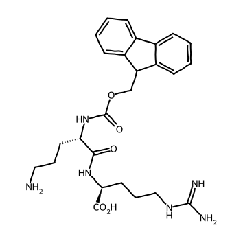 N=C(N)NCCC[C@H](NC(=O)[C@H](CCCN)NC(=O)OCC1c2ccccc2-c2ccccc21)C(=O)O